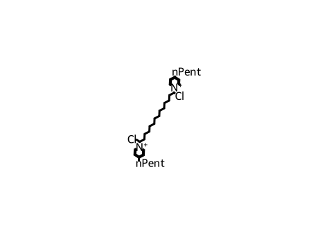 CCCCCc1cc[n+](C(Cl)CCCCCCCCCCCCC(Cl)[n+]2ccc(CCCCC)cc2)cc1